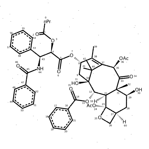 CCCC(=O)O[C@@H](C(=O)O[C@H]1C[C@@]2(O)[C@@H](OC(=O)c3ccccc3)[C@@H]3[C@]4(OC(C)=O)OC[C@@H]4C[C@H](O)[C@@]3(C)C(=O)[C@H](OC(C)=O)C(=C1C)C2(C)C)[C@@H](NC(=O)c1ccccc1)c1ccccc1